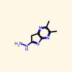 Cc1nc2c(nc1C)N=C(NN)C2